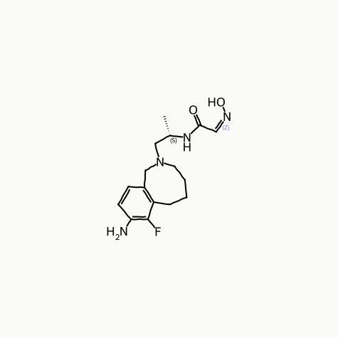 C[C@@H](CN1CCCCc2c(ccc(N)c2F)C1)NC(=O)/C=N\O